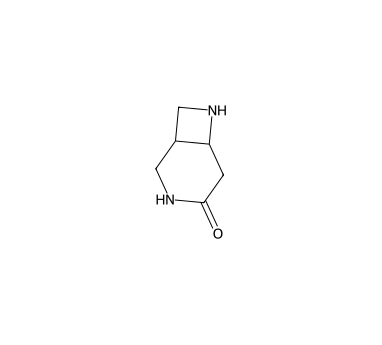 O=C1CC2NCC2CN1